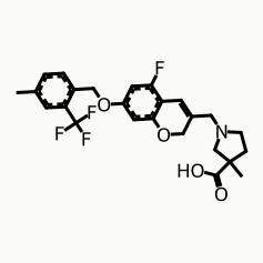 Cc1ccc(COc2cc(F)c3c(c2)OCC(CN2CCC(C)(C(=O)O)C2)=C3)c(C(F)(F)F)c1